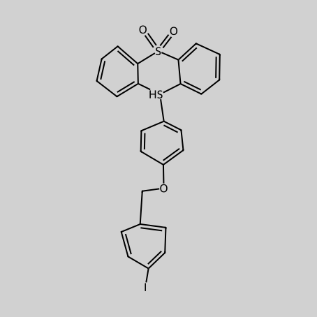 O=S1(=O)c2ccccc2[SH](c2ccc(OCc3ccc(I)cc3)cc2)c2ccccc21